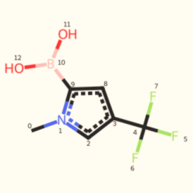 Cn1cc(C(F)(F)F)cc1B(O)O